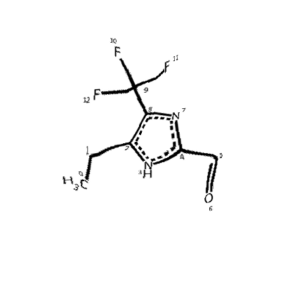 CCc1[nH]c(C=O)nc1C(F)(F)F